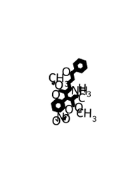 CCOC(=O)C1=C(CCC(=O)c2ccccc2)NC(C)=C(C(=O)OC)C1c1cccc([N+](=O)[O-])c1